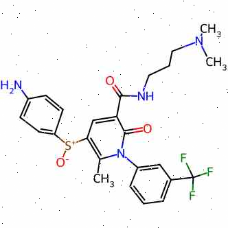 Cc1c([S+]([O-])c2ccc(N)cc2)cc(C(=O)NCCCN(C)C)c(=O)n1-c1cccc(C(F)(F)F)c1